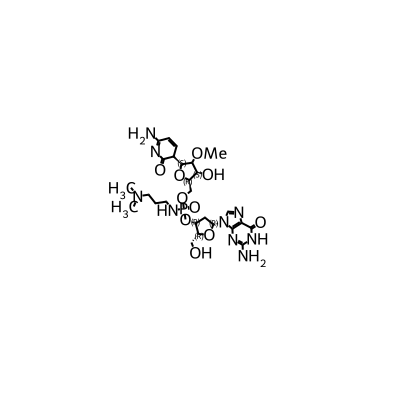 COC1[C@H](C2C=CC(N)=NC2=O)O[C@H](COP(=O)(NCCCN(C)C)O[C@@H]2C[C@H](n3cnc4c(=O)[nH]c(N)nc43)O[C@@H]2CO)[C@@H]1O